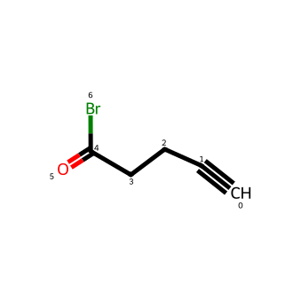 C#CCCC(=O)Br